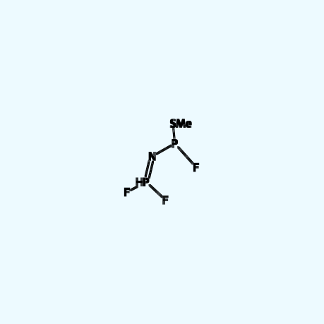 CSP(F)N=[PH](F)F